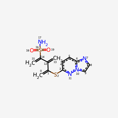 C=C(Sc1ccc2nccn2n1)C(=C)C(=C)S(N)(=O)=O